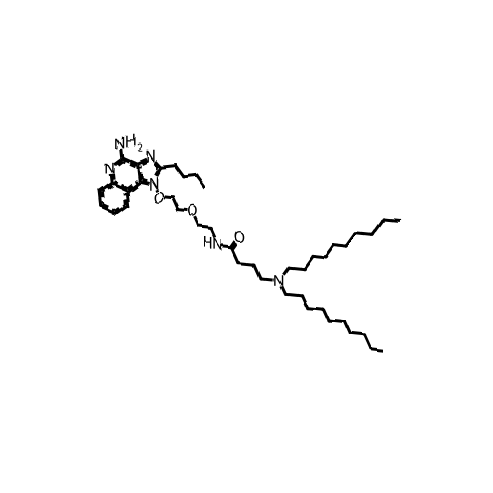 CCCCCCCCCCN(CCCCCCCCCC)CCCC(=O)NCCOCCOn1c(CCCC)nc2c(N)nc3ccccc3c21